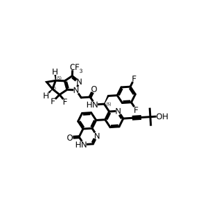 CC(C)(O)C#Cc1ccc(-c2cccc3c(=O)[nH]cnc23)c([C@H](Cc2cc(F)cc(F)c2)NC(=O)Cn2nc(C(F)(F)F)c3c2C(F)(F)[C@@H]2C[C@H]32)n1